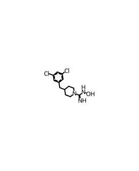 N=C(NO)N1CCC(Cc2cc(Cl)cc(Cl)c2)CC1